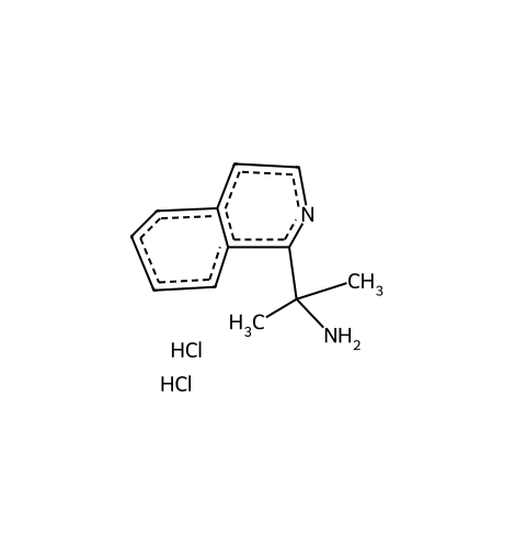 CC(C)(N)c1nccc2ccccc12.Cl.Cl